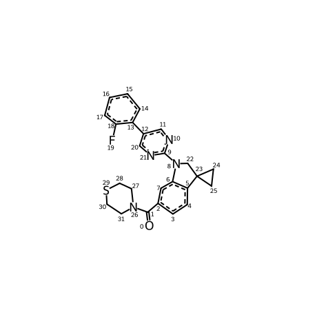 O=C(c1ccc2c(c1)N(c1ncc(-c3ccccc3F)cn1)CC21CC1)N1CCSCC1